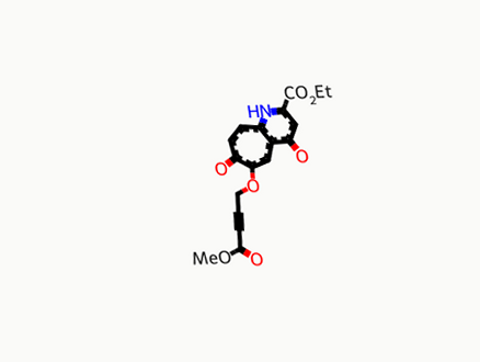 CCOC(=O)c1cc(=O)c2cc(OCC#CC(=O)OC)c(=O)ccc2[nH]1